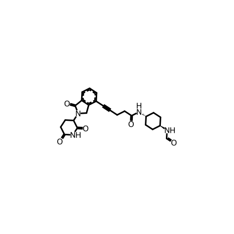 O=CN[C@H]1CC[C@H](NC(=O)CCC#Cc2cccc3c2CN(C2CCC(=O)NC2=O)C3=O)CC1